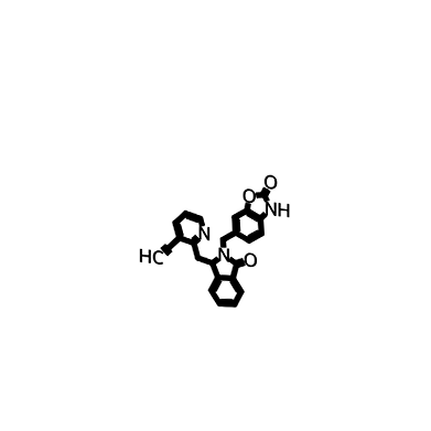 C#Cc1cccnc1CC1c2ccccc2C(=O)N1Cc1ccc2[nH]c(=O)oc2c1